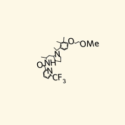 COCCOc1ccc(C(C)N2CCCC2CC(C)NC(=O)c2cccc(C(F)(F)F)n2)c(C)c1C